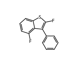 Fc1sc2cccc(F)c2c1-c1ccccc1